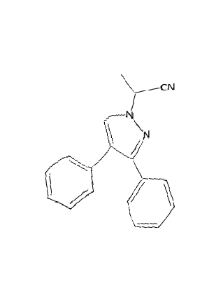 CC(C#N)n1cc(-c2ccccc2)c(-c2ccccc2)n1